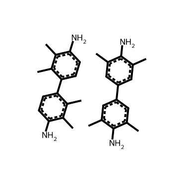 Cc1c(N)ccc(-c2ccc(N)c(C)c2C)c1C.Cc1cc(-c2cc(C)c(N)c(C)c2)cc(C)c1N